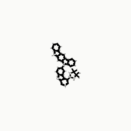 CC1(C)OB(c2cncc3oc4ccc(-n5c6ccccc6c6cc7c(cc65)sc5ccccc57)cc4c23)OC1(C)C